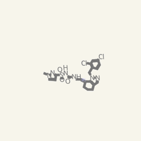 Cn1ccc(S(=O)(=O)NC(=O)NC/C=C2\CCCc3cnn(Cc4ccc(Cl)cc4Cl)c32)n1